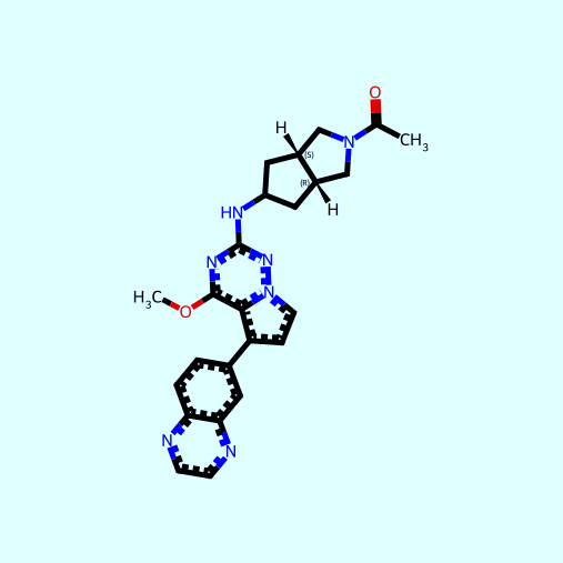 COc1nc(NC2C[C@@H]3CN(C(C)=O)C[C@@H]3C2)nn2ccc(-c3ccc4nccnc4c3)c12